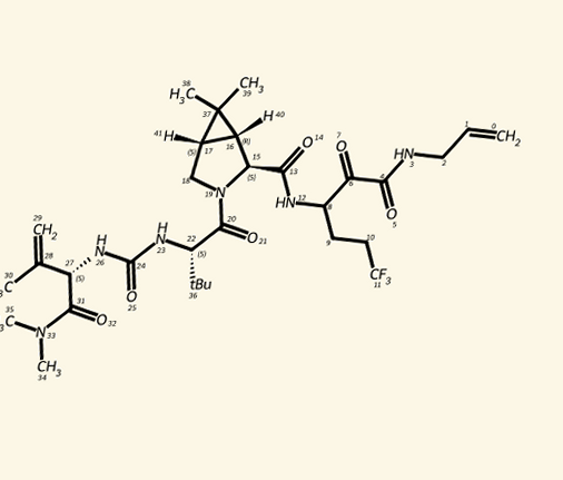 C=CCNC(=O)C(=O)C(CCC(F)(F)F)NC(=O)[C@@H]1[C@@H]2[C@H](CN1C(=O)[C@@H](NC(=O)N[C@@H](C(=C)C)C(=O)N(C)C)C(C)(C)C)C2(C)C